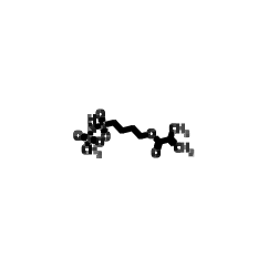 C=C(C)C(=O)OCCCCS(=O)(=O)NS(C)(=O)=O